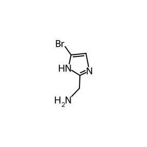 NCc1ncc(Br)[nH]1